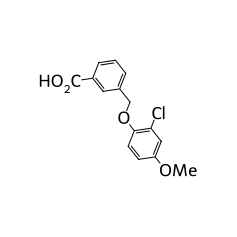 COc1ccc(OCc2cccc(C(=O)O)c2)c(Cl)c1